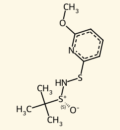 COc1cccc(SN[S@+]([O-])C(C)(C)C)n1